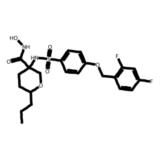 CCCC1CCC(NS(=O)(=O)c2ccc(OCc3ccc(F)cc3F)cc2)(C(=O)NO)CO1